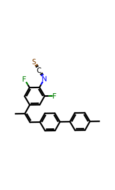 CC(=Cc1ccc(-c2ccc(C)cc2)cc1)c1cc(F)c(N=C=S)c(F)c1